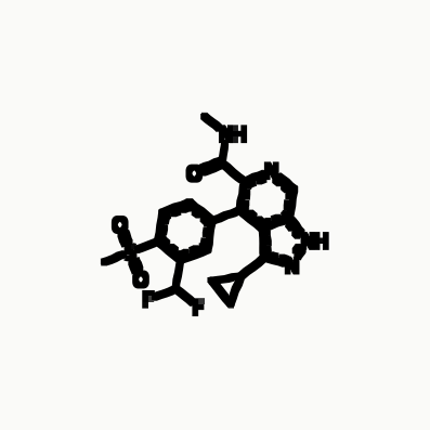 CNC(=O)c1ncc2[nH]nc(C3CC3)c2c1-c1ccc(S(C)(=O)=O)c(C(F)F)c1